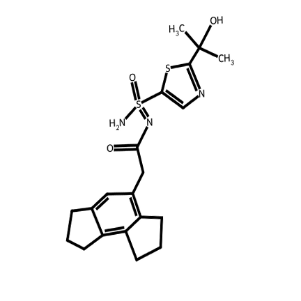 CC(C)(O)c1ncc(S(N)(=O)=NC(=O)Cc2cc3c(c4c2CCC4)CCC3)s1